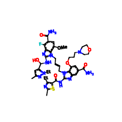 CCc1nc(C)sc1C(=O)Nc1nc2cc(C(N)=O)cc(OCCCN3CCOCC3)c2n1C/C=C/Cn1c(NC(O)c2cc(C)nn2CC)nc2c(F)c(C(N)=O)cc(OC)c21